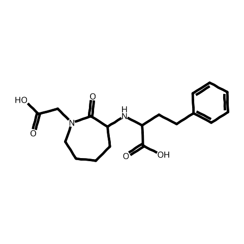 O=C(O)CN1CCCCC(NC(CCc2ccccc2)C(=O)O)C1=O